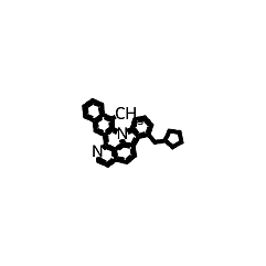 Cc1c2ccccc2cc2c3nccc4ccc5c6c(CC7CCCC7)cccc6n(c12)c5c43